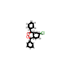 O=C(c1ccccc1)c1ccc(Cl)cc1C(=O)c1ccccc1